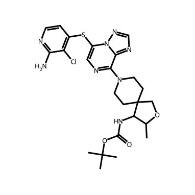 CC1OCC2(CCN(c3ncc(Sc4ccnc(N)c4Cl)n4ncnc34)CC2)C1NC(=O)OC(C)(C)C